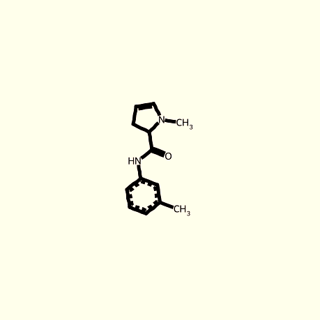 Cc1cccc(NC(=O)C2CC=CN2C)c1